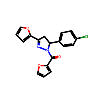 O=C(c1ccco1)N1N=C(c2ccco2)CC1c1ccc(Cl)cc1